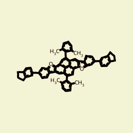 Cc1cccc(C)c1-c1cc2c3oc4cc(-c5ccc6c(c5)CCC6)ccc4c3cc3c(-c4c(C)cccc4C)cc4c5oc6cc(-c7ccc8c(c7)CCC8)ccc6c5cc1c4c32